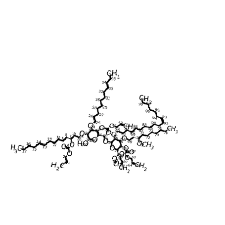 C=CCOC(=O)O[C@@H](CCCCCCCCCCC)CCO[C@@H]1[C@@H](OCCCCCCCCCCCC)[C@H](OC(=O)OCC=C)[C@@H](CO[C@@H]2O[C@H](COC)[C@@H](OP(=O)(OCC=C)OCC=C)[C@H](OCC[C@H](CCCCCCC)OC)[C@H]2OCCCCCCCCCC/C=C\CCCCCC)O[C@@H]1O